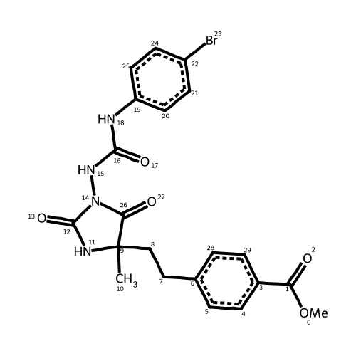 COC(=O)c1ccc(CCC2(C)NC(=O)N(NC(=O)Nc3ccc(Br)cc3)C2=O)cc1